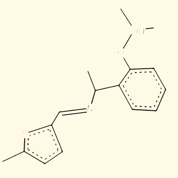 Cc1ccc(C=NC(C)c2ccccc2O[SiH](C)C)s1